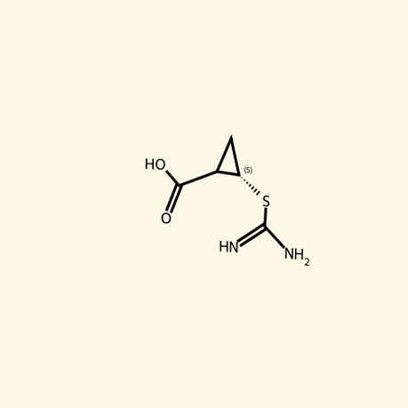 N=C(N)S[C@H]1CC1C(=O)O